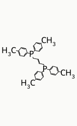 Cc1ccc(P(CC=CCP(c2ccc(C)cc2)c2ccc(C)cc2)c2ccc(C)cc2)cc1